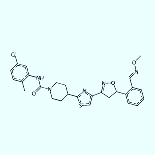 CON=Cc1ccccc1C1CC(c2csc(C3CCN(C(=O)Nc4cc(Cl)ccc4C)CC3)n2)=NO1